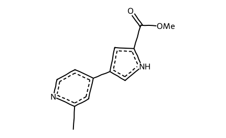 COC(=O)c1cc(-c2ccnc(C)c2)c[nH]1